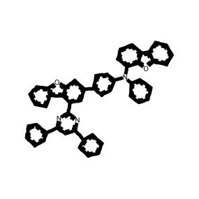 c1ccc(-c2cc(-c3ccccc3)nc(-c3cc(-c4ccc(N(c5ccccc5)c5cccc6c5oc5ccccc56)cc4)cc4oc5ccccc5c34)n2)cc1